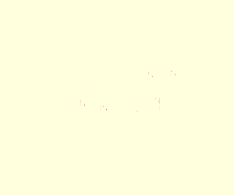 Nc1ncccc1NCc1cc(NC(=O)c2ccc3ccccc3n2)ccc1F